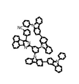 N#Cc1cccc(-c2nc(-c3cc(-n4c5ccccc5c5ccc(-c6ccc7c(c6)c6ccccc6n7-c6ccccc6)cc54)cc(-n4c5ccccc5c5ccc(-c6ccc7c(c6)c6ccccc6n7-c6ccccc6)cc54)c3)nc3c2-c2cccc4cccc-3c24)c1